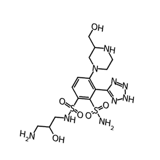 NCC(O)CNS(=O)(=O)c1ccc(N2CCNC(CO)C2)c(-c2nn[nH]n2)c1S(N)(=O)=O